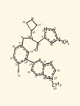 Cn1cnc(C(=O)N(Cc2ccc(F)c(-c3ccc4c(ccn4C)c3)c2)C2CCC2)c1